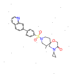 CC1CN(S(=O)(=O)c2ccc(-c3ccc4cccnc4c3)cc2)CCC12CN(C1CC1)C(=O)CO2